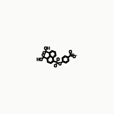 O=C(O)c1cccc2c(S(=O)(=O)Oc3ccc([N+](=O)[O-])cc3)ccc(C(=O)O)c12